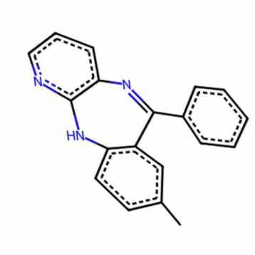 Cc1ccc2c(c1)C(c1ccccc1)=Nc1cccnc1N2